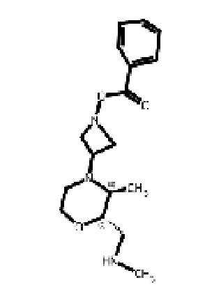 CNC[C@@H]1OCCN(C2CN(OC(=O)c3ccccc3)C2)[C@H]1C